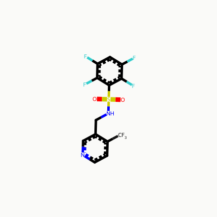 O=S(=O)(NCc1cnccc1C(F)(F)F)c1c(F)c(F)cc(F)c1F